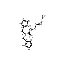 O=C=NCCOC(=O)N(Cc1cccs1)Cc1cccs1